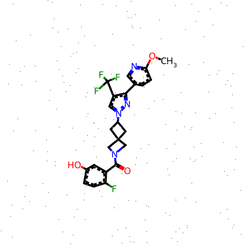 COc1ccc(-c2nn(C3CC4(C3)CN(C(=O)c3cc(O)ccc3F)C4)cc2C(F)(F)F)cn1